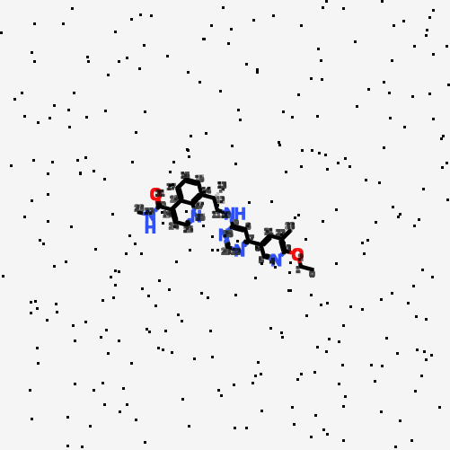 CCOc1ncc(-c2cc(NC[C@@H](C)c3cccc4c(C(=O)NC)ccnc34)ncn2)cc1C